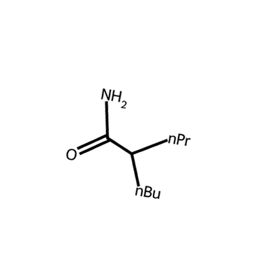 CCCCC(CCC)C(N)=O